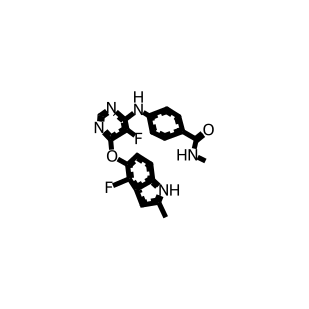 CNC(=O)c1ccc(Nc2ncnc(Oc3ccc4[nH]c(C)cc4c3F)c2F)cc1